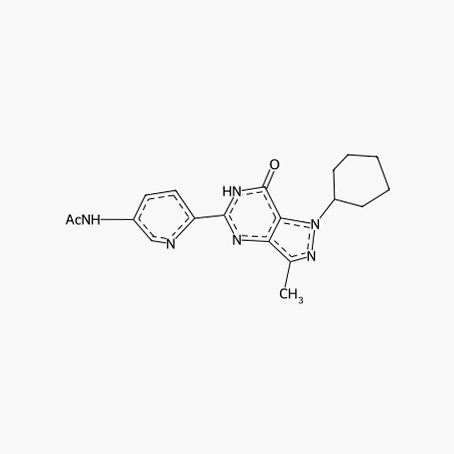 CC(=O)Nc1ccc(-c2nc3c(C)nn(C4CCCCC4)c3c(=O)[nH]2)nc1